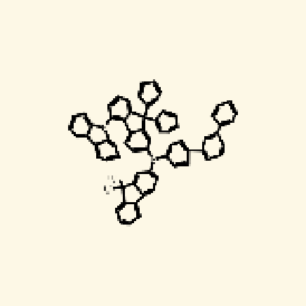 CC1(C)c2ccccc2-c2ccc(N(c3ccc(-c4cccc(-c5ccccc5)c4)cc3)c3ccc4c(c3)C(c3ccccc3)(c3ccccc3)c3cccc(-n5c6ccccc6c6ccccc65)c3-4)cc21